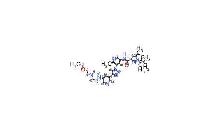 CCOCCN1CCN(c2cncc(-c3cn(-c4cc(NC(=O)c5cc(C)n(C(C)(C)C)n5)cnc4C)nn3)c2)CC1